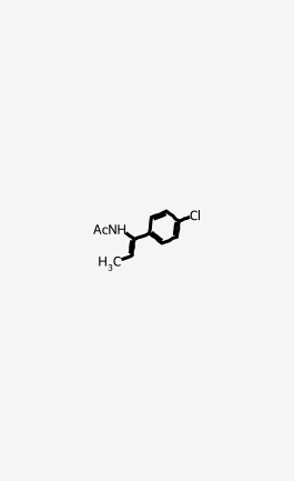 CC=C(NC(C)=O)c1ccc(Cl)cc1